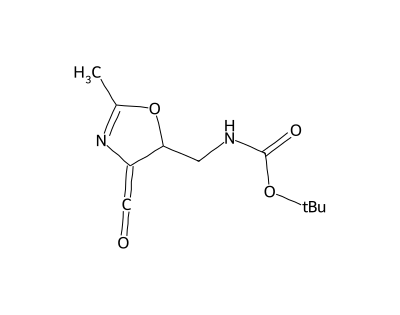 CC1=NC(=C=O)C(CNC(=O)OC(C)(C)C)O1